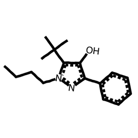 CCCCn1nc(-c2ccccc2)c(O)c1C(C)(C)C